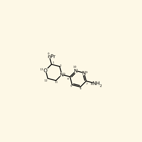 CCCC1CN(c2ccc(N)nn2)CCO1